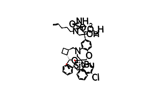 C=CCCCN(CC(O)(C(=O)O)c1ccc2c(c1)N(C[C@@H]1CC[C@H]1C(C=C)O[Si](c1ccccc1)(c1ccccc1)C(C)(C)C)C[C@@]1(CCCc3cc(Cl)ccc31)CO2)S(N)(=O)=O